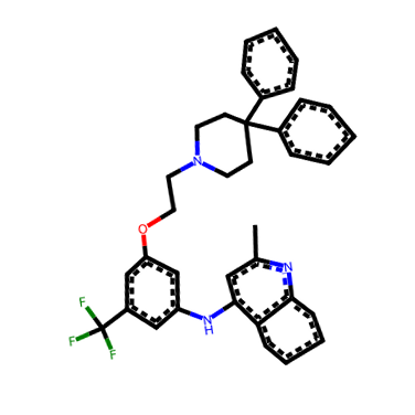 Cc1cc(Nc2cc(OCCN3CCC(c4ccccc4)(c4ccccc4)CC3)cc(C(F)(F)F)c2)c2ccccc2n1